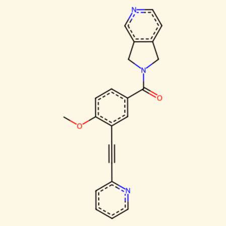 COc1ccc(C(=O)N2Cc3ccncc3C2)cc1C#Cc1ccccn1